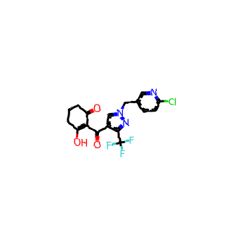 O=C1CCCC(O)=C1C(=O)c1cn(Cc2ccc(Cl)nc2)nc1C(F)(F)F